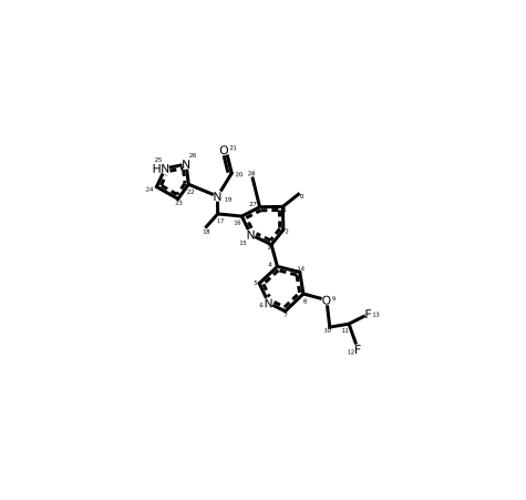 Cc1cc(-c2cncc(OCC(F)F)c2)nc(C(C)N(C=O)c2cc[nH]n2)c1C